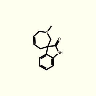 CN1CC=CCC2(C1)C(=O)Nc1ccccc12